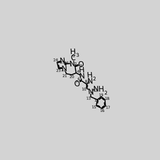 CN1C(=O)C(NC(=O)/C(N)=C/N(N)Cc2ccccc2)CCn2ccnc21